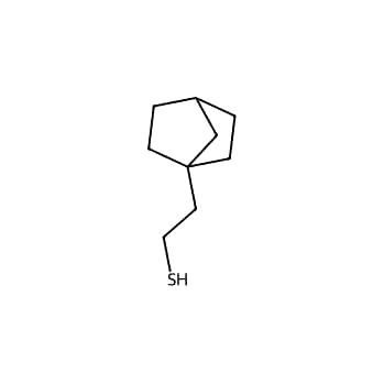 SCCC12CCC(CC1)C2